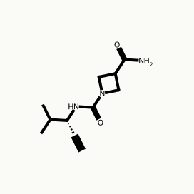 C#C[C@@H](NC(=O)N1CC(C(N)=O)C1)C(C)C